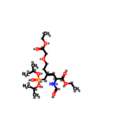 CCOC(=O)COCCC(=CC(NC=O)C(=O)OCC)CP(=O)(OC(C)C)OC(C)C